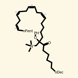 CCCCC/C=C\C/C=C\C/C=C\C/C=C\CCCCC(C[N+](C)(C)C)(O[PH-])C(=O)CCCCCCCCCCCCCCC